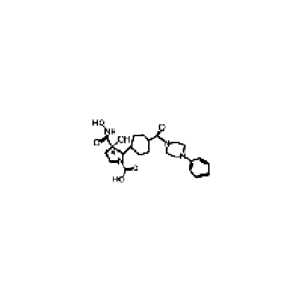 O=C(C1CCC(C2N(C(=O)O)CC[C@]2(O)C(=O)NO)CC1)N1CCN(c2ccccc2)CC1